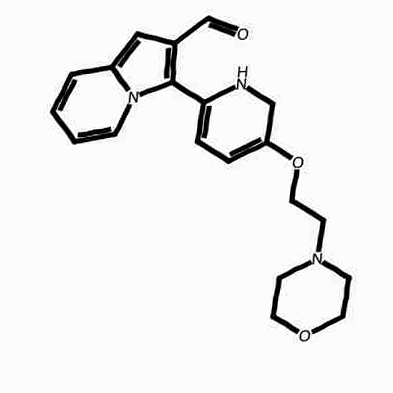 O=Cc1cc2ccccn2c1C1=CC=C(OCCN2CCOCC2)CN1